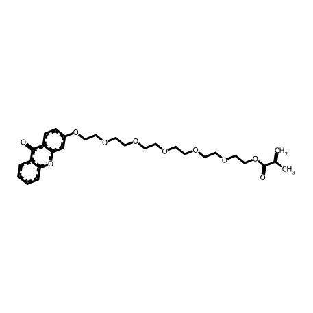 C=C(C)C(=O)OCCOCCOCCOCCOCCOCCOc1ccc2c(=O)c3ccccc3oc2c1